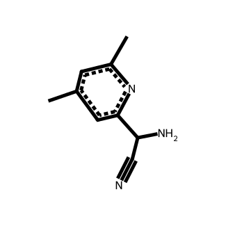 Cc1cc(C)nc(C(N)C#N)c1